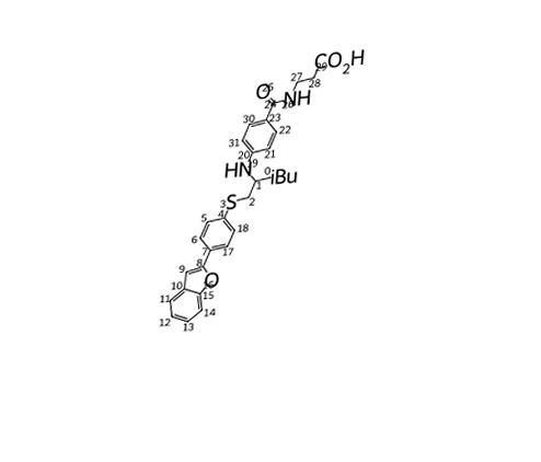 CCC(C)C(CSc1ccc(-c2cc3ccccc3o2)cc1)Nc1ccc(C(=O)NCCC(=O)O)cc1